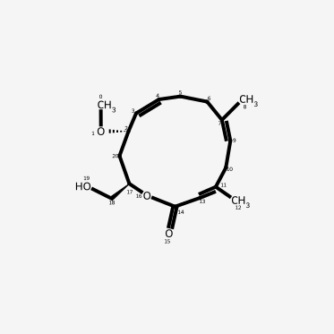 CO[C@@H]1C=CCC/C(C)=C\C/C(C)=C\C(=O)O[C@@H](CO)C1